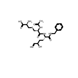 CC(=O)N[C@H](CSC[C@H](N)C(=O)O)C(=O)N[C@@H](CCC(O)C=N)C(=O)NCc1ccccc1